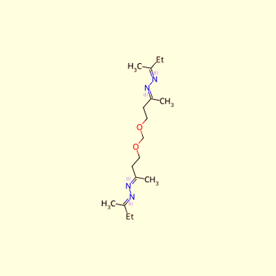 CC/C(C)=N/N=C(\C)CCOCOCC/C(C)=N/N=C(\C)CC